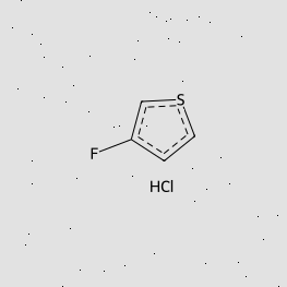 Cl.Fc1ccsc1